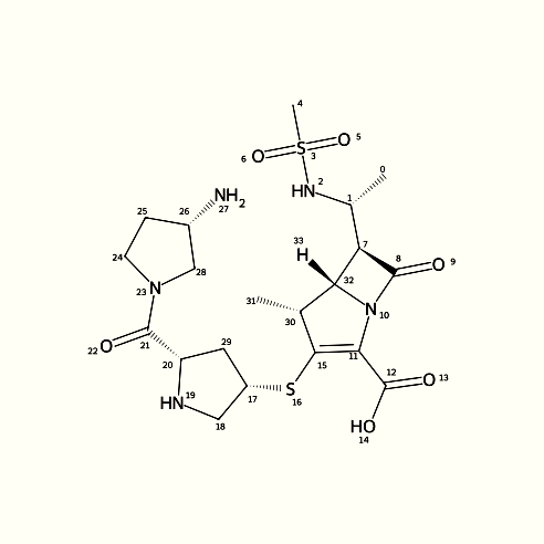 C[C@@H](NS(C)(=O)=O)[C@H]1C(=O)N2C(C(=O)O)=C(S[C@@H]3CN[C@H](C(=O)N4CC[C@H](N)C4)C3)[C@H](C)[C@H]12